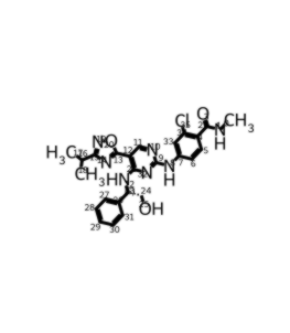 CNC(=O)c1ccc(Nc2ncc(-c3nc(C(C)C)no3)c(N[C@H](CO)c3ccccc3)n2)cc1Cl